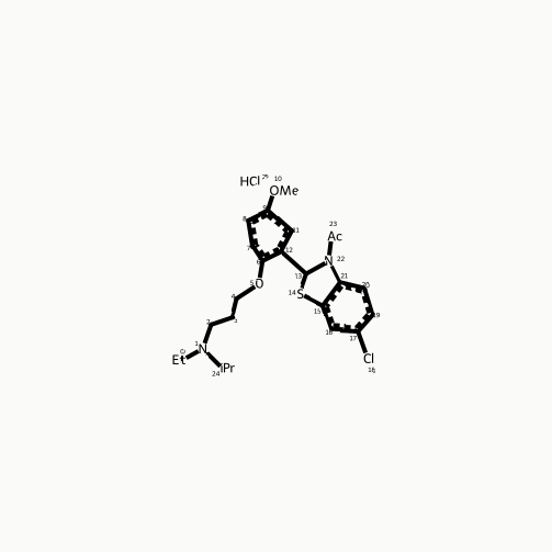 CCN(CCCOc1ccc(OC)cc1C1Sc2cc(Cl)ccc2N1C(C)=O)C(C)C.Cl